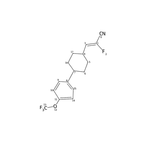 N#CC(F)=CC1CCC(c2ccc(OC(F)(F)F)cc2)CC1